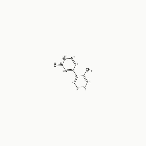 Cc1ccccc1-c1cn[nH]c(=O)n1